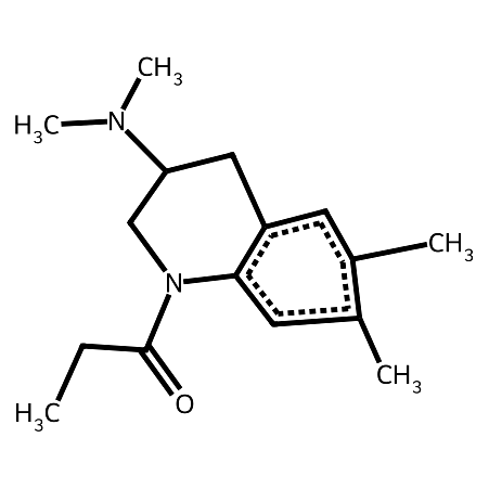 CCC(=O)N1CC(N(C)C)Cc2cc(C)c(C)cc21